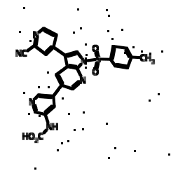 Cc1ccc(S(=O)(=O)n2cc(-c3ccnc(C#N)c3)c3cc(-c4cncc(NC(=O)O)c4)cnc32)cc1